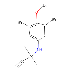 C#CC(C)(C)Nc1cc(C(C)C)c(OCC)c(C(C)C)c1